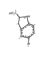 O=C(O)C1Cc2nc(Br)ccc2N1